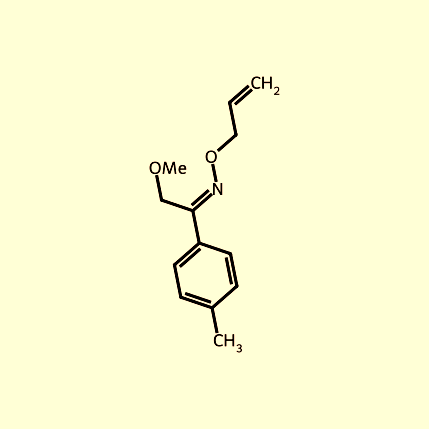 C=CCO/N=C(\COC)c1ccc(C)cc1